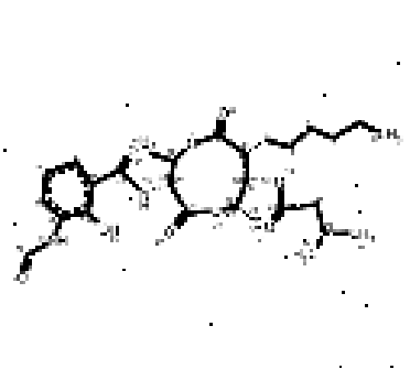 CCCCCC[C@H]1C(=O)OC(C)[C@@H](NC(=O)c2cccc(NC=O)c2O)C(=O)O[C@@H](C)[C@H]1OC(=O)CC(C)C